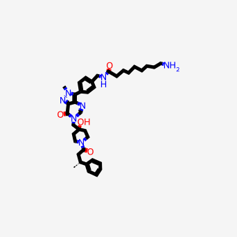 C[C@H](CC(=O)N1CCC(O)(Cn2cnc3c(-c4ccc(CNC(=O)CCCCCCCCN)cc4)n(C)nc3c2=O)CC1)c1ccccc1